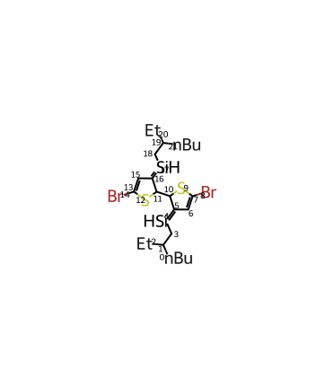 CCCCC(CC)C/[SiH]=C1\C=C(Br)SC1C1SC(Br)=C/C1=[SiH]\CC(CC)CCCC